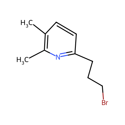 Cc1ccc(CCCBr)nc1C